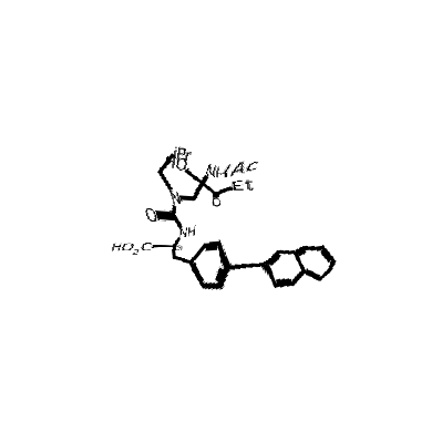 CCC(=O)C(O)(CN(CC(C)C)C(=O)N[C@@H](Cc1ccc(-c2ccc3ccccc3c2)cc1)C(=O)O)NC(C)=O